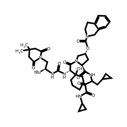 CC1(C)CC(=O)N(C[C@@H](NC(=O)N[C@H](C(=O)N2C[C@H](OC(=O)N3CCc4ccccc4C3)C[C@H]2C(=O)NC(CC2CC2)C(=O)C(=O)NC2CC2)C2(C)CCCCC2)C(C)(C)C)C(=O)C1